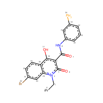 CC(C)Cn1c(=O)c(C(=O)Nc2cccc(P)c2)c(O)c2ccc(Br)cc21